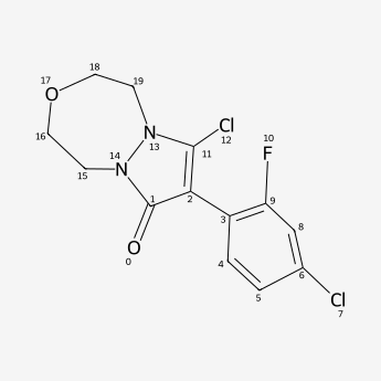 O=c1c(-c2ccc(Cl)cc2F)c(Cl)n2n1CCOCC2